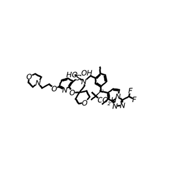 Cc1ccc([C@@H](c2ccn3c(C(F)F)nnc3c2C)C(C)(C)C(=O)O)cc1CN1CC2(CCOCC2)Oc2nc(OCCN3CCOCC3)ccc2S1(O)O